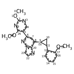 COc1ncc(-c2cc([C@H]3CC3c3ccccc3OC)c3nccn3n2)c(OC)n1